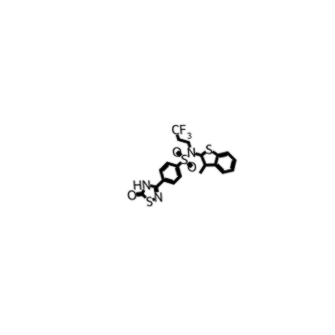 CC1c2ccccc2SC1N(CCC(F)(F)F)S(=O)(=O)c1ccc(-c2nsc(=O)[nH]2)cc1